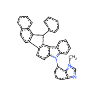 Cn1cnc2cccc(-n3c4ccccc4c4c5c(ccc43)-c3ccc4ccccc4c3C5c3ccccc3)c21